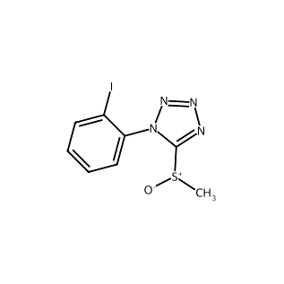 C[S+]([O-])c1nnnn1-c1ccccc1I